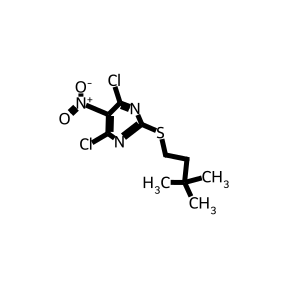 CC(C)(C)CCSc1nc(Cl)c([N+](=O)[O-])c(Cl)n1